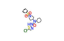 O=C(NC1=NCC(Cl)S1)N(C1CCCCC1)C1CCN(S(=O)(=O)c2ccccc2)CC1